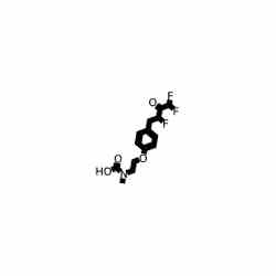 CN(CCOc1ccc(CC(F)C(=O)C(F)F)cc1)C(=O)O